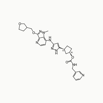 Cn1nc(OCC2CCOC2)c2nccc(Nc3cc([C@H]4CC[C@@H](OC(=O)NCc5cccnc5)C4)[nH]n3)c21